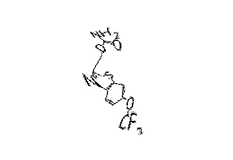 NC(=O)Oc1nc2ccc(OC(F)(F)F)cc2s1